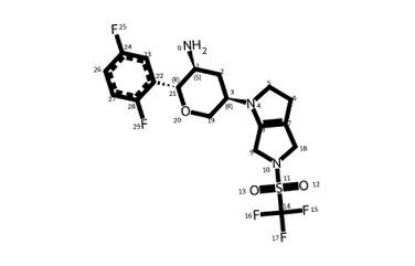 N[C@H]1C[C@@H](N2CCC3=C2CN(S(=O)(=O)C(F)(F)F)C3)CO[C@@H]1c1cc(F)ccc1F